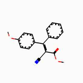 COC(=O)C(C#N)=C(c1ccccc1)c1ccc(OC)cc1